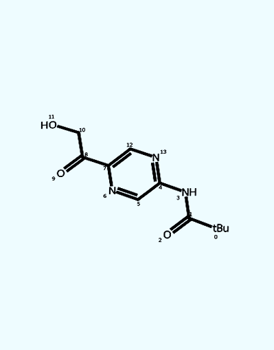 CC(C)(C)C(=O)Nc1cnc(C(=O)CO)cn1